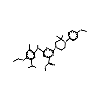 CCOc1cc(C)c(Nc2cc(C(=O)OC)nc(N3CCN(c4ccc(OC)cc4)C(C)(C)C3)n2)cc1C(C)C